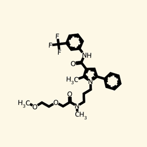 COCCOCC(=O)N(C)CCCn1c(-c2ccccc2)cc(C(=O)Nc2cccc(C(F)(F)F)c2)c1C